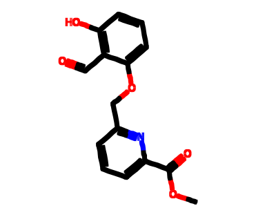 COC(=O)c1cccc(COc2cccc(O)c2C=O)n1